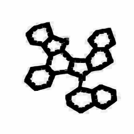 c1ccc2c(-n3c4ccc5ccccc5c4c4c5sc6ccccc6c5c5ccccc5c43)cccc2c1